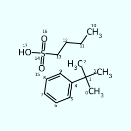 CC(C)(C)c1ccccc1.CCCCS(=O)(=O)O